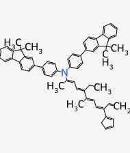 C=C\C(=C/C=C(C)/C(=C/C=C(\C)N(c1ccc(-c2ccc3c(c2)C(C)(C)c2ccccc2-3)cc1)c1ccc(-c2ccc3c(c2)C(C)(C)c2ccccc2-3)cc1)CC)C1=CC=CC1